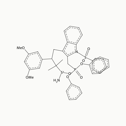 COc1cc(OC)cc(C(Cc2c(CP(=O)(Oc3ccccc3)Oc3ccccc3)n(S(=O)(=O)c3ccccc3)c3ccccc23)C(C)(C)[S+](N)[O-])c1